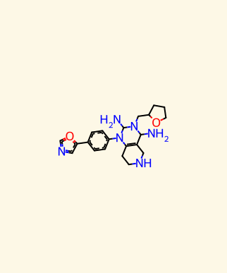 NC1C2=C(CCNC2)N(c2ccc(-c3cnco3)cc2)C(N)N1CC1CCCO1